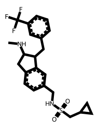 CNC1Cc2ccc(CNS(=O)(=O)CC3CC3)cc2C1Cc1cccc(C(F)(F)F)c1